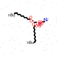 CCCC/C=C\CCCCCCCC(=O)OC[C@H](COP(=O)(O)OCC[N+](C)(C)C)OC(=O)CCCCCCC/C=C\CCCC